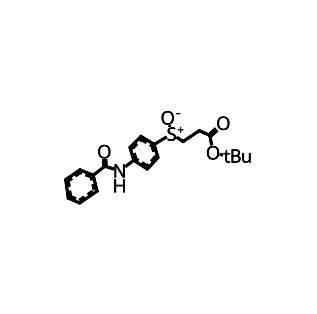 CC(C)(C)OC(=O)CC[S+]([O-])c1ccc(NC(=O)c2ccccc2)cc1